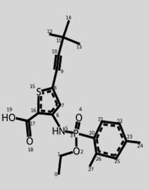 CCOP(=O)(Nc1cc(C#CC(C)(C)C)sc1C(=O)O)c1ccc(C)cc1C